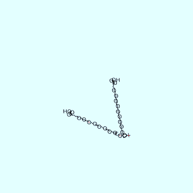 CC(C)(C)c1ccc(OCCOCCOCCOCCOCCOCCOCCOCCOCCCCS(=O)(=O)O)c(OCCOCCOCCOCCOCCOCCOCCOCCOCCCCS(=O)(=O)O)c1